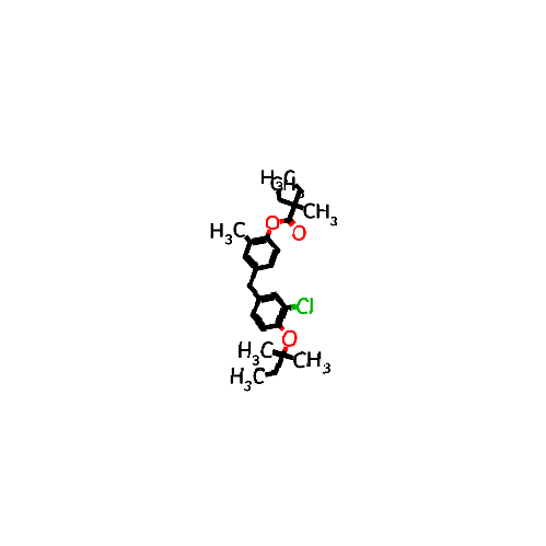 CCC(C)(C)Oc1ccc(Cc2ccc(OC(=O)C(C)(CC)CC)c(C)c2)cc1Cl